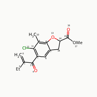 C=C(CC)C(=O)c1cc2c(c(C)c1Cl)OC(C(=O)OC)C2